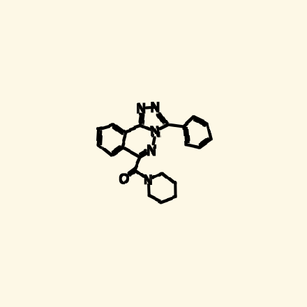 O=C(c1nn2c(-c3ccccc3)nnc2c2ccccc12)N1CCCCC1